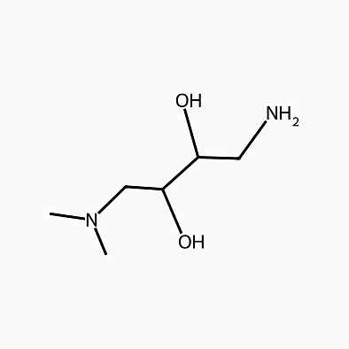 CN(C)CC(O)C(O)CN